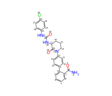 NC(=O)c1ccccc1-c1ccc(N2CCCC(NC(=O)Nc3ccc(Cl)cc3)C2=O)cc1